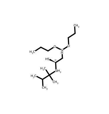 CCCO[SiH](C[C@H](S)[SiH2]C(C)(C)C(C)C)OCCC